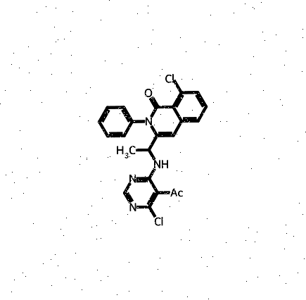 CC(=O)c1c(Cl)ncnc1NC(C)c1cc2cccc(Cl)c2c(=O)n1-c1ccccc1